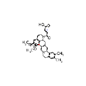 CCC1CN2CCc3cc(C)c(C)cc3C2CC1CC1c2cc(OC)c(OC)cc2CCN1C(=O)/C=C/C(=O)O